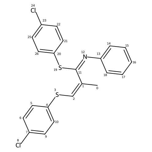 CC(=CSc1ccc(Cl)cc1)C(=Nc1ccccc1)Sc1ccc(Cl)cc1